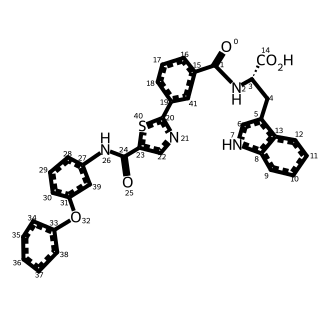 O=C(N[C@@H](Cc1c[nH]c2ccccc12)C(=O)O)c1cccc(-c2ncc(C(=O)Nc3cccc(Oc4ccccc4)c3)s2)c1